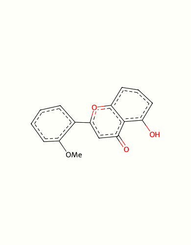 COc1ccccc1-c1cc(=O)c2c(O)cccc2o1